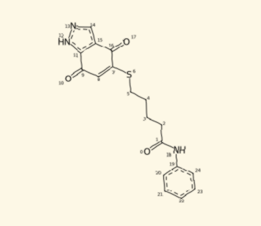 O=C(CCCCSC1=CC(=O)c2[nH]ncc2C1=O)Nc1ccccc1